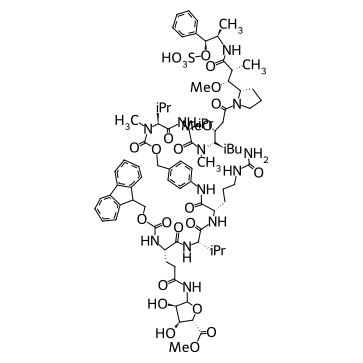 CC[C@H](C)[C@@H]([C@@H](CC(=O)N1CCC[C@H]1[C@H](OC)[C@@H](C)C(=O)N[C@H](C)[C@@H](OS(=O)(=O)O)c1ccccc1)OC)N(C)C(=O)[C@@H](NC(=O)[C@H](C(C)C)N(C)C(=O)OCc1ccc(NC(=O)[C@H](CCCNC(N)=O)NC(=O)[C@@H](NC(=O)[C@H](CCC(=O)NC2O[C@H](C(=O)OC)[C@@H](O)[C@H]2O)NC(=O)OCC2c3ccccc3-c3ccccc32)C(C)C)cc1)C(C)C